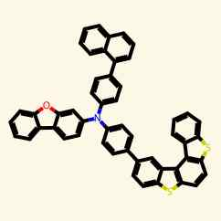 c1ccc2c(-c3ccc(N(c4ccc(-c5ccc6sc7ccc8sc9ccccc9c8c7c6c5)cc4)c4ccc5c(c4)oc4ccccc45)cc3)cccc2c1